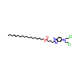 CCCCCCCCCCCCCCCCCCOC(=O)CCCc1nc2cc(N(CCCl)CCCl)ccc2n1C